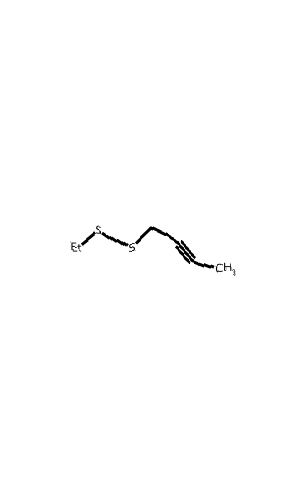 CC#CCSSCC